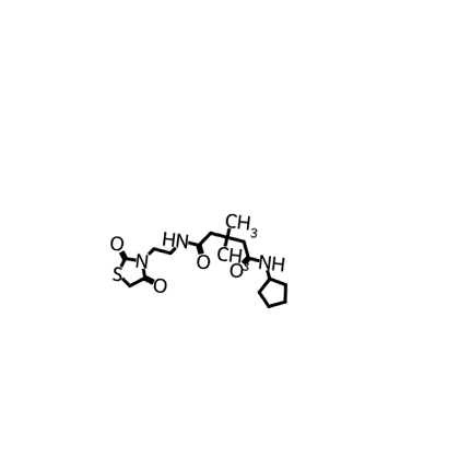 CC(C)(CC(=O)NCCN1C(=O)CSC1=O)CC(=O)NC1CCCC1